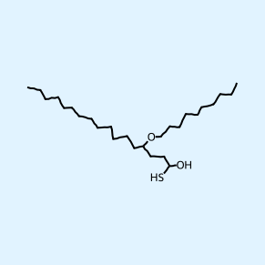 CCCCCCCCCCCCCC(CCC(O)S)OCCCCCCCCCC